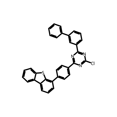 Clc1nc(-c2ccc(-c3cccc4c3sc3ccccc34)cc2)nc(-c2cccc(-c3ccccc3)c2)n1